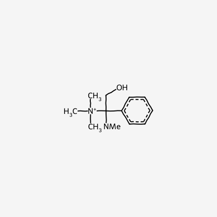 CNC(CO)(c1ccccc1)[N+](C)(C)C